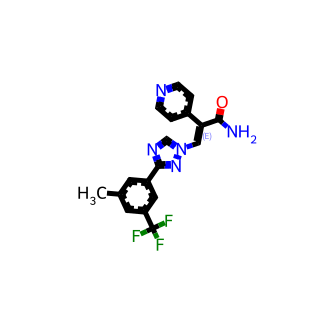 Cc1cc(-c2ncn(/C=C(/C(N)=O)c3ccncc3)n2)cc(C(F)(F)F)c1